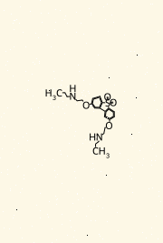 CCCNCCOc1ccc2c(c1)-c1cc(OCCNCCC)ccc1S2(=O)=O